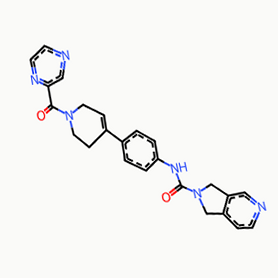 O=C(Nc1ccc(C2=CCN(C(=O)c3cnccn3)CC2)cc1)N1Cc2ccncc2C1